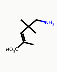 CC(=CC(C)(C)CN)C(=O)O